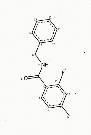 Cc1ccc(C(=O)NCc2ccccc2)c(F)c1